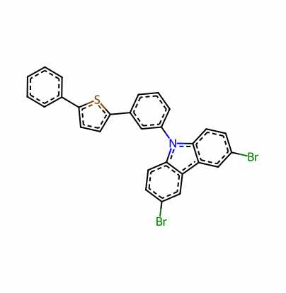 Brc1ccc2c(c1)c1cc(Br)ccc1n2-c1cccc(-c2ccc(-c3ccccc3)s2)c1